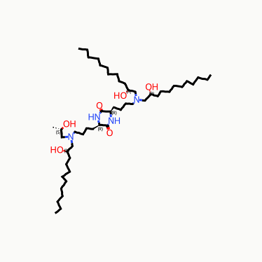 CCCCCCCCCC[C@@H](O)CN(CCCC[C@H]1NC(=O)[C@@H](CCCCN(C[C@H](O)CCCCCCCCCC)C[C@H](C)O)NC1=O)C[C@H](O)CCCCCCCCCC